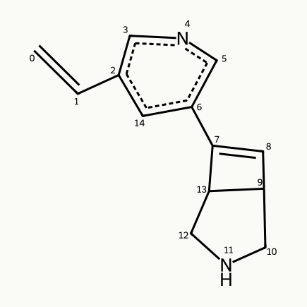 C=Cc1cncc(C2=CC3CNCC23)c1